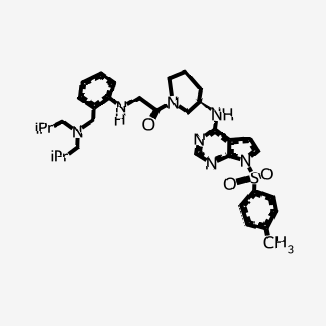 Cc1ccc(S(=O)(=O)n2ccc3c(N[C@@H]4CCCN(C(=O)CNc5ccccc5CN(CC(C)C)CC(C)C)C4)ncnc32)cc1